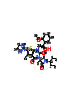 CCC(CC)N1CC(C)(n2c(=O)c3c(C)c(-n4nccn4)sc3n(C[C@H](O)c3ccccc3OC)c2=O)C1=O